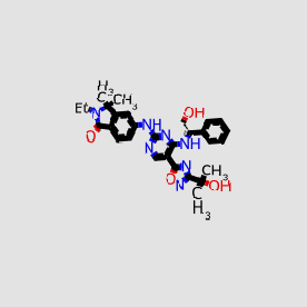 CCN1C(=O)c2ccc(Nc3ncc(-c4nc(C(C)(C)O)no4)c(N[C@H](CO)c4ccccc4)n3)cc2C1(C)C